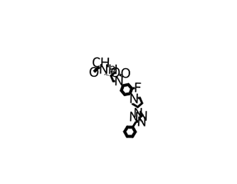 CC(=O)NC[C@H]1CN(c2ccc(N3CC[C@@H](n4nnc(-c5ccccc5)n4)C3)c(F)c2)C(=O)O1